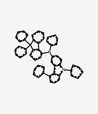 c1ccc(-c2cccc3c2c2cc(N(c4ccccc4)c4cccc5c4-c4ccccc4C5(c4ccccc4)c4ccccc4)ccc2n3-c2ccccc2)cc1